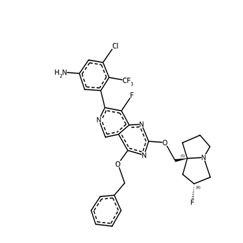 Nc1cc(Cl)c(C(F)(F)F)c(-c2ncc3c(OCc4ccccc4)nc(OC[C@@]45CCCN4C[C@H](F)C5)nc3c2F)c1